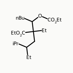 CCCCC(OC(=O)OCC)C(CC)(CC(CC)C(C)C)C(=O)OCC